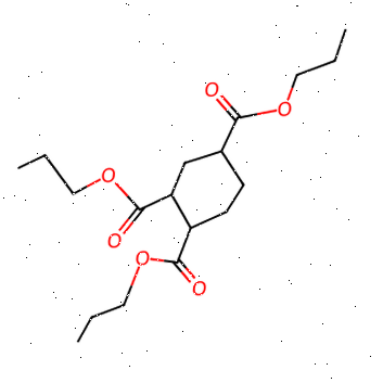 CCCOC(=O)C1CCC(C(=O)OCCC)C(C(=O)OCCC)C1